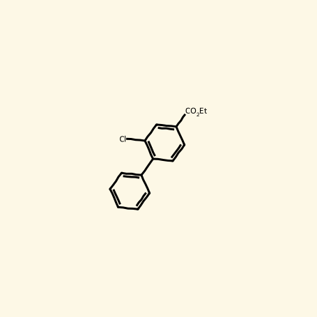 CCOC(=O)c1ccc(-c2ccccc2)c(Cl)c1